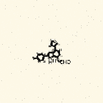 Cc1ccc(-c2cc3c(-c4ccsc4)ccc(NC=O)c3[nH]2)cc1